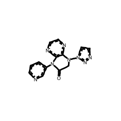 O=C1CN(n2ccnn2)c2nccnc2N1c1cccnc1